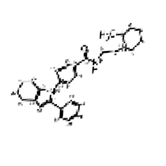 CC1CCCCN1CCNC(=O)c1ccc(-n2c(-c3ccccc3)cc3c2CCCC3)cc1